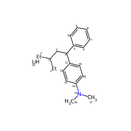 CCC(CC)C[C](c1ccccc1)c1ccc(N(C)C)cc1.[LiH]